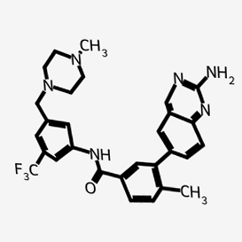 Cc1ccc(C(=O)Nc2cc(CN3CCN(C)CC3)cc(C(F)(F)F)c2)cc1-c1ccc2nc(N)ncc2c1